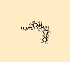 Cc1nc2cc(NC(=O)Nc3ccc(Oc4ccccc4)cc3)ccc2s1